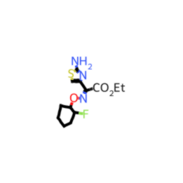 CCOC(=O)C(=NOC1CCCCC1F)c1csc(N)n1